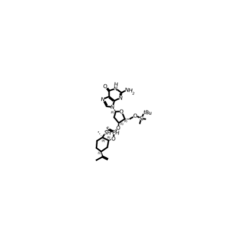 C=C(C)[C@H]1CC[C@@](C)(S)[C@H](O[PH](=S)O[C@H]2C[C@H](n3cnc4c(=O)[nH]c(N)nc43)O[C@@H]2CO[Si](C)(C)C(C)(C)C)C1